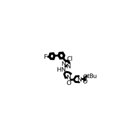 CC(C)(C)OC(=O)N1CCC(C(=O)N2CCC(Nc3ncc(Cl)c(-c4cccc(-c5ccc(F)cc5)c4)n3)CC2)CC1